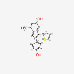 CC1C=C(O)C=C2C1=CC(c1ccc(O)cc1)=C2c1cccs1